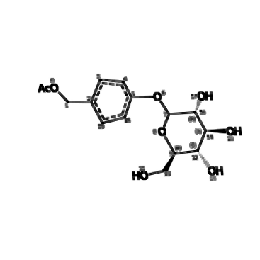 CC(=O)OCc1ccc(OC2O[C@H](CO)[C@@H](O)[C@H](O)[C@H]2O)cc1